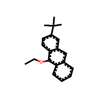 CCOc1c2ccccc2cc2cc(C(C)(C)C)ccc12